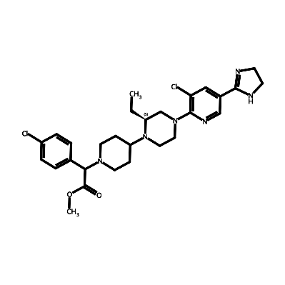 CC[C@H]1CN(c2ncc(C3=NCCN3)cc2Cl)CCN1C1CCN(C(C(=O)OC)c2ccc(Cl)cc2)CC1